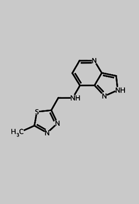 Cc1nnc(CNc2ccnc3c[nH]nc23)s1